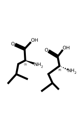 CC(C)C[C@@H](N)C(=O)O.CC(C)C[C@H](N)C(=O)O